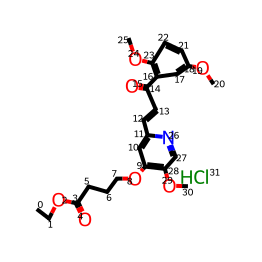 CCOC(=O)CCCOc1cc(/C=C/C(=O)c2cc(OC)ccc2OC)ncc1OC.Cl